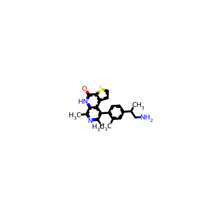 Cc1cc(C(C)CN)ccc1-c1c(C)nc(C)c2[nH]c(=O)c3sccc3c12